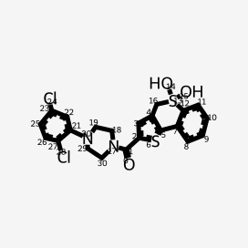 O=C(c1cc2c(s1)-c1ccccc1S(O)(O)C2)N1CCN(c2cc(Cl)ccc2Cl)CC1